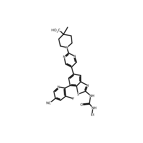 CCNC(=O)Nc1nc2cc(-c3cnc(N4CCC(C)(C(=O)O)CC4)nc3)cc(-c3ncc(C#N)cc3F)c2s1